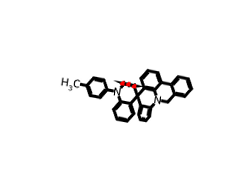 Cc1ccc(N2c3ccccc3C3(c4ccccc4N4Cc5ccccc5-c5cccc3c54)c3ccccc32)cc1